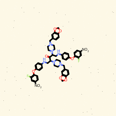 O=C(C(CNc1ccc(Oc2ccc([N+](=O)[O-])cc2F)cc1)N1CCN(Cc2ccc3c(c2)OCO3)CC1)C(CNc1ccc(Oc2ccc([N+](=O)[O-])cc2F)cc1)N1CCN(Cc2ccc3c(c2)OCO3)CC1